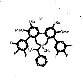 COc1c(C(C)(C)C)cc2c(c1-c1cc(F)c(F)c(F)c1)C[N+](C)(C(C)c1ccccc1)Cc1c-2cc(C(C)(C)C)c(OC)c1-c1cc(F)c(F)c(F)c1.[Br-]